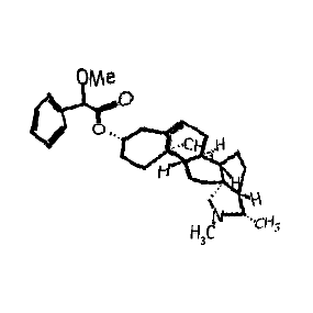 COC(C(=O)O[C@H]1CC[C@@]2(C)C(=CC[C@H]3[C@@H]4CC[C@@H]5[C@H](C)N(C)C[C@@]54CC[C@@H]32)C1)c1ccccc1